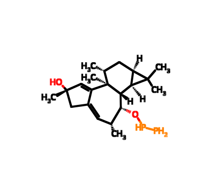 C[C@@H]1C=C2C[C@](C)(O)C=C2[C@]2(C)[C@@H]([C@@H]1OPP)[C@H]1[C@@H](C[C@H]2C)C1(C)C